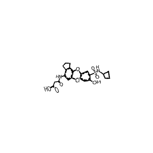 O=C(O)CC(=O)Nc1cc(Cl)c(Oc2ccc(O)c(S(=O)(=O)NC3CCC3)c2)c2c1CCC2